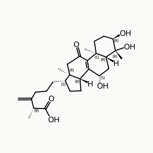 C=C(CCC[C@H]1CC[C@H]2C3=C(C(=O)C[C@]12C)[C@@]1(C)CC[C@@H](O)[C@](C)(O)[C@@H]1C[C@@H]3O)[C@@H](C)C(=O)O